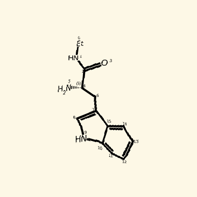 CCNC(=O)[C@@H](N)Cc1c[nH]c2ccccc12